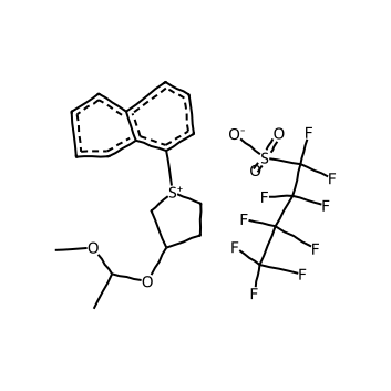 COC(C)OC1CC[S+](c2cccc3ccccc23)C1.O=S(=O)([O-])C(F)(F)C(F)(F)C(F)(F)C(F)(F)F